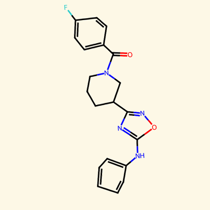 O=C(c1ccc(F)cc1)N1CCCC(c2noc(Nc3ccccc3)n2)C1